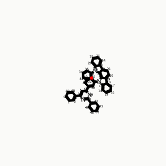 c1ccc(-c2cc(-c3cccc(-n4c5ccccc5c5ccc6c7ccccc7n(-c7ccccc7)c6c54)c3)nc(-c3ccccc3)n2)cc1